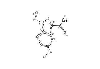 COc1ccc2c(C=O)cn(C(=O)O)c2c1